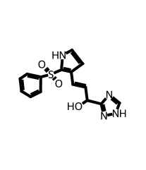 O=S(=O)(c1ccccc1)c1[nH]ccc1C=CC(O)c1nc[nH]n1